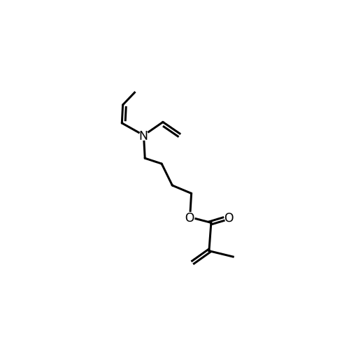 C=CN(/C=C\C)CCCCOC(=O)C(=C)C